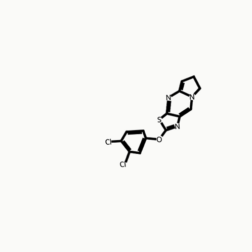 Clc1ccc(Oc2nc3c(s2)=NC2=CCCN2C=3)cc1Cl